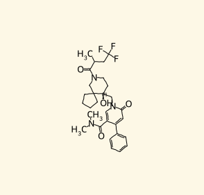 CC(CC(F)(F)F)C(=O)N1CC[C@](O)(Cn2cc(C(=O)N(C)C)c(-c3ccccc3)cc2=O)C2(CCCC2)C1